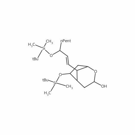 CCCCCC(C=CC1C2CC(O[Si](C)(C)C(C)(C)C)C1CC(O)O2)O[Si](C)(C)C(C)(C)C